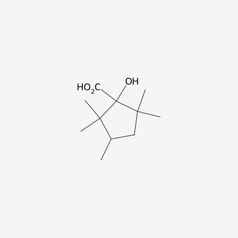 CC1CC(C)(C)C(O)(C(=O)O)C1(C)C